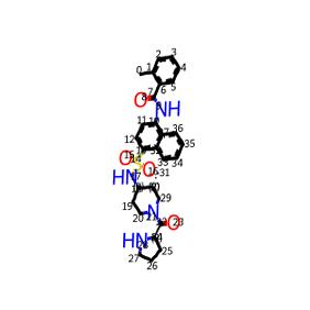 Cc1ccccc1C(=O)Nc1ccc(S(=O)(=O)N[C@@H]2CCN(C(=O)[C@H]3CCCN3)C[C@H]2C)c2ccccc12